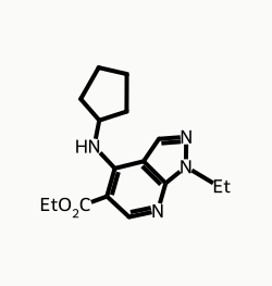 CCOC(=O)c1cnc2c(cnn2CC)c1NC1CCCC1